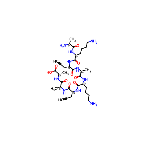 C#CC[C@H](NC(=O)[C@H](CCCCN)NC(=O)[C@H](C)N)C(=O)N[C@@H](C)C(=O)N[C@@H](CCCCN)C(=O)N[C@@H](CC#C)C(=O)N[C@@H](C)C(=O)N[C@@H](C)C(=O)O